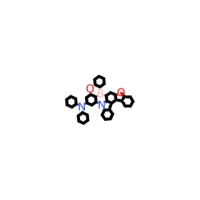 c1ccc(N(c2ccccc2)c2cc3c4c(c2)-n2c5ccccc5c5c6c(cc(c52)B4c2ccccc2O3)oc2ccccc26)cc1